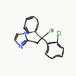 N#CC(Cc1ncc[nH]1)(c1ccccc1)c1ccccc1Cl